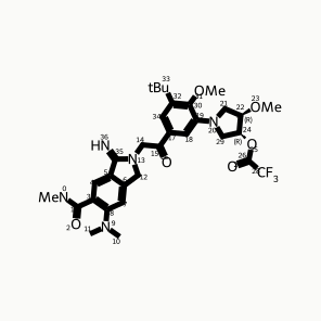 CNC(=O)c1cc2c(cc1N(C)C)CN(CC(=O)c1cc(N3C[C@@H](OC)[C@H](OC(=O)C(F)(F)F)C3)c(OC)c(C(C)(C)C)c1)C2=N